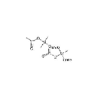 CO[Si](C)(OC)O[PH](=O)O[Si](C)(C)O[PH](C)=O